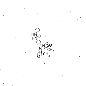 CC(c1cc(N2CCOC[C@@H]2C)nc(-c2ccc(NC(=O)Nc3ccccc3)cc2)n1)=S(=O)=O